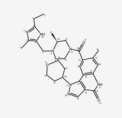 CCc1nc(C)c(CN2CCN(C(=O)c3cc4c(cc3C)[nH]c(=O)c3cnn(C5CCOCC5)c34)C[C@@H]2C)[nH]1